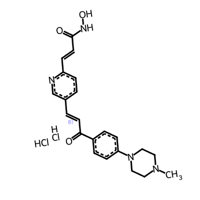 CN1CCN(c2ccc(C(=O)/C=C/c3ccc(C=CC(=O)NO)nc3)cc2)CC1.Cl.Cl